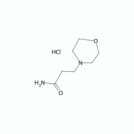 Cl.NC(=O)CCN1CCOCC1